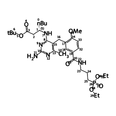 CCCC[C@@H](CC(=O)OC(C)(C)C)Nc1nc(N)nc(C)c1Cc1cc(C(=O)NCCCP(=O)(OCC)OCC)ccc1OC